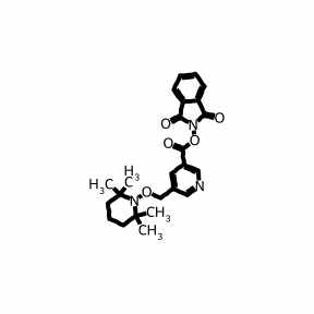 CC1(C)CCCC(C)(C)N1OCc1cncc(C(=O)ON2C(=O)c3ccccc3C2=O)c1